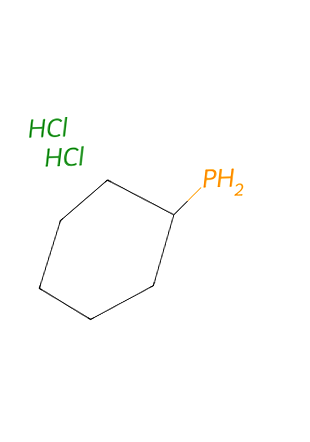 Cl.Cl.PC1CCCCC1